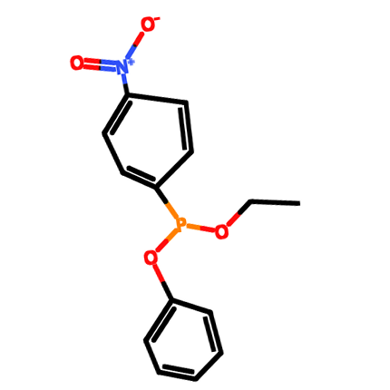 CCOP(Oc1ccccc1)c1ccc([N+](=O)[O-])cc1